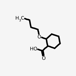 CCCCOC1CCCCC1C(=O)O